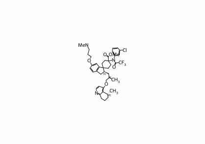 CNCCCOc1ccc2c(c1)C1(CCC(C(=O)OC)(N(C(=O)C(F)(F)F)c3cccc(Cl)c3)CC1)[C@@H](C[C@@H](C)COc1ccnc3c1[C@H](C)CCC3)C2